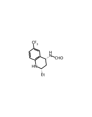 CC[C@H]1C[C@@H](NC=O)c2cc(C(F)(F)F)ccc2N1